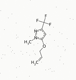 C=CCOc1cc(C(F)(F)F)nn1C